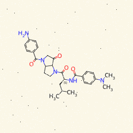 CC(C)C[C@H](NC(=O)c1ccc(N(C)C)cc1)C(=O)N1CCC2C1C(=O)CN2C(=O)c1ccc(N)cc1